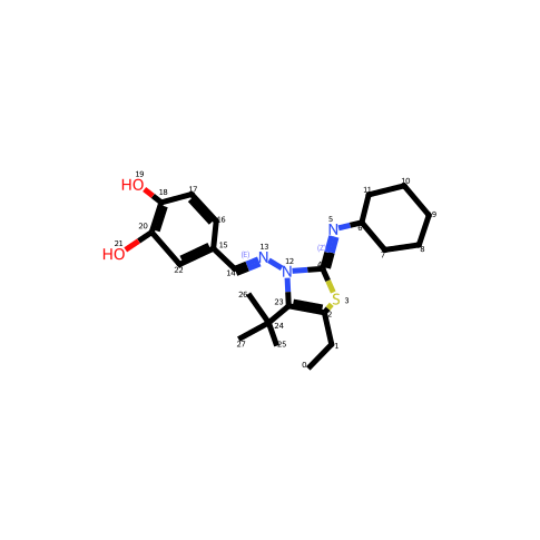 CCc1s/c(=N\C2CCCCC2)n(/N=C/c2ccc(O)c(O)c2)c1C(C)(C)C